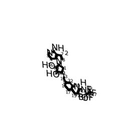 Nc1nccc2c1ccn2[C@@H]1C[C@H](CCc2ccc3cc(Br)c(NC(=O)C(F)(F)F)nc3c2)[C@@H](O)[C@H]1O